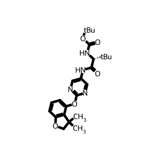 CC(C)(C)OC(=O)N[C@@H](C(=O)Nc1cnc(Oc2cccc3c2C(C)(C)CO3)nc1)C(C)(C)C